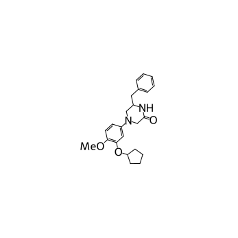 COc1ccc(N2CC(=O)NC(Cc3ccccc3)C2)cc1OC1CCCC1